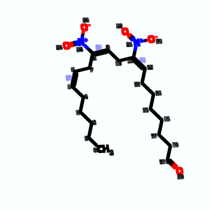 CCCCC/C=C\C/C(=C\C/C(=C\CCCCCC[C]=O)[N+](=O)[O-])[N+](=O)[O-]